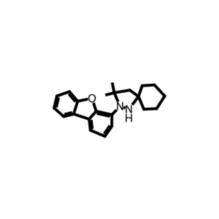 CC1(C)CC2(CCCCC2)NN1c1cccc2c1oc1ccccc12